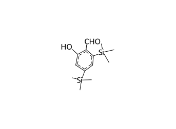 C[Si](C)(C)c1cc(O)c(C=O)c([Si](C)(C)C)c1